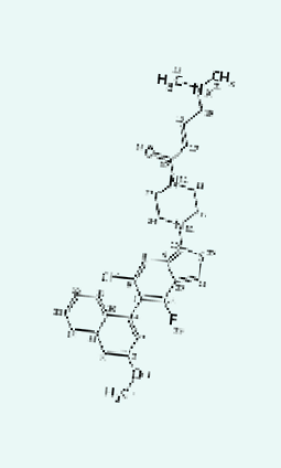 COc1cc(-c2c(Cl)cc3c(N4CCN(C(=O)/C=C/CN(C)C)CC4)scc3c2F)c2ccccc2c1